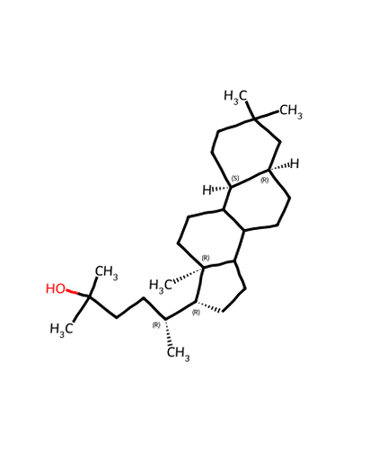 C[C@H](CCC(C)(C)O)[C@H]1CCC2C3CC[C@@H]4CC(C)(C)CC[C@@H]4C3CC[C@@]21C